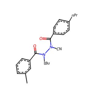 CCCc1ccc(C(=O)N(C#N)N(C(=O)c2cccc(C)c2)C(C)(C)C)cc1